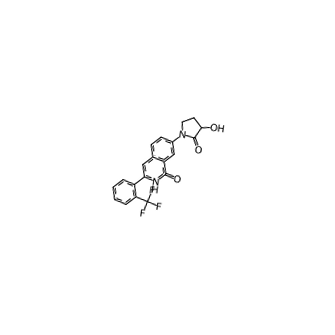 O=C1C(O)CCN1c1ccc2cc(-c3ccccc3C(F)(F)F)[nH]c(=O)c2c1